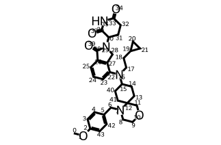 COc1ccc(CN2CCOCC23CCC(N(CCC2CC2)c2cccc4c2CN(C2CCC(=O)NC2=O)C4=O)CC3)cc1